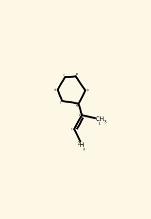 [2H]/C=C(\C)C1CCCCC1